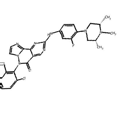 C[C@@H]1CN(c2ccc(Nc3ncc4c(=O)n(-c5c(Cl)cccc5Cl)n5ccnc5c4n3)cc2F)C[C@H](C)N1C